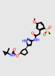 COc1ccc(S(C)(=O)=O)c(CC(=O)Nc2cc([C@H]3CC[C@@H](OC(=O)NC4(C)CC4)C3)[nH]n2)c1